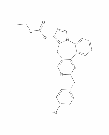 CCOC(=O)Oc1ncn2c1Cc1cnc(Cc3ccc(OC)cc3)nc1-c1ccccc1-2